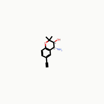 C#Cc1ccc2c(c1)[C@@H](N)[C@H](O)C(C)(C)O2